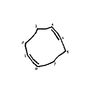 [C]1=CCCC=CCC1